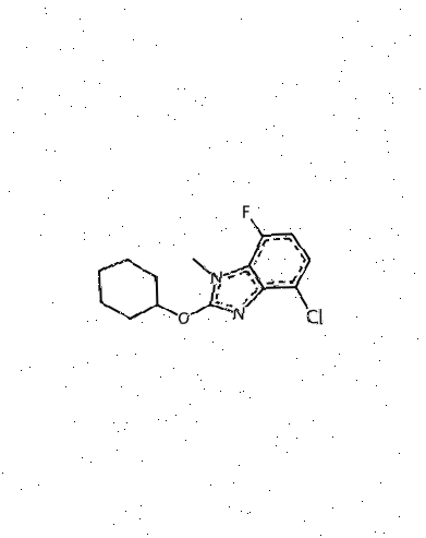 Cn1c(OC2CCCCC2)nc2c(Cl)ccc(F)c21